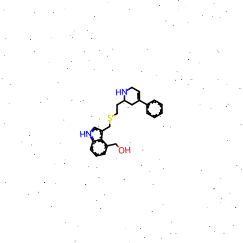 OCc1cccc2[nH]cc(CSCCC3CC(c4ccccc4)=CCN3)c12